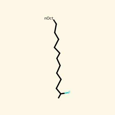 CCCCCCCCCCCCCCCCCCC(C)F